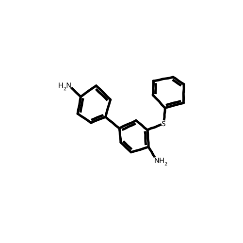 Nc1ccc(-c2ccc(N)c(Sc3ccccc3)c2)cc1